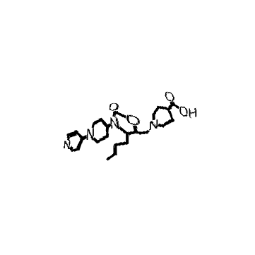 CCCCC1C(CN2CCC(C(=O)O)CC2)OC(=O)N1C1CCN(c2ccncc2)CC1